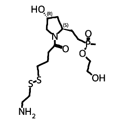 CP(=O)(CC[C@@H]1C[C@@H](O)CN1C(=O)CCCSSCCN)OCCO